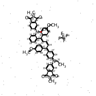 CCN(c1ccc2c(c1)C(=O)N(C)C2=O)c1ccccc1C(=CC=CC(=C1C=CC(=[N+](CC)c2ccc3c(c2)C(=O)N(C)C3=O)C=C1)c1ccc(OC)cc1)c1ccc(OC)cc1.F[B-](F)(F)F